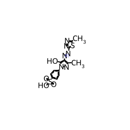 Cc1nnc(/N=N/c2c(C)nn(-c3ccc(S(=O)(=O)O)cc3)c2O)s1